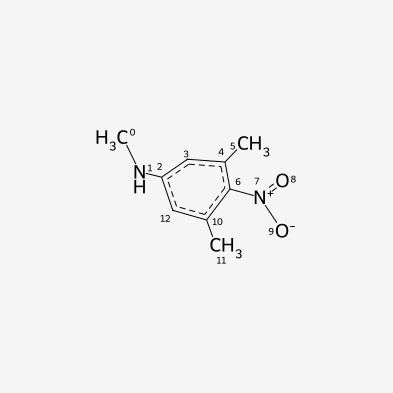 CNc1cc(C)c([N+](=O)[O-])c(C)c1